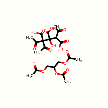 CC(=O)C(C(=O)O)C(O)(C(=O)O)C(C(C)=O)(C(C)=O)C(=O)O.CC(=O)OCC(COC(C)=O)OC(C)=O